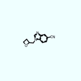 N#Cc1ccc2c(c1)ncn2CC1CCO1